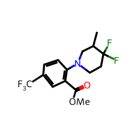 COC(=O)c1cc(C(F)(F)F)ccc1N1CCC(F)(F)C(C)C1